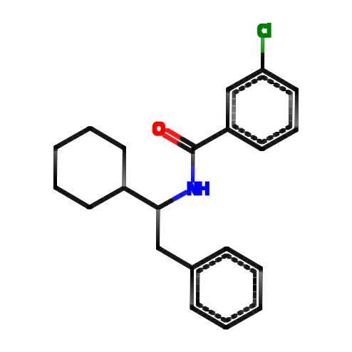 O=C(NC(Cc1ccccc1)C1CCCCC1)c1cccc(Cl)c1